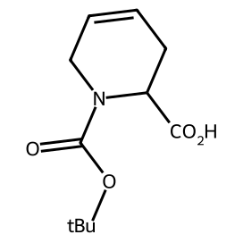 CC(C)(C)OC(=O)N1CC=CCC1C(=O)O